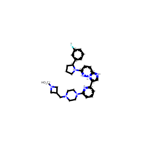 O=C(O)N1CC(CN2CCN(c3cccc(-c4cnc5ccc(N6CCCC6c6cccc(F)c6)nn45)n3)CC2)C1